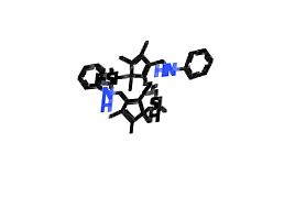 CC1=C(C)C(C)([SiH](C)C)[C]([Zr][C]2=C(CNc3ccccc3)C(C)=C(C)C2(C)[SiH](C)C)=C1CNc1ccccc1